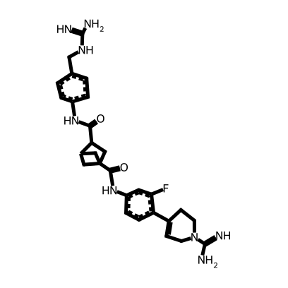 N=C(N)NCc1ccc(NC(=O)C2CC3(C(=O)Nc4ccc(C5=CCN(C(=N)N)CC5)c(F)c4)CC2C3)cc1